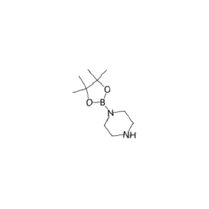 CC1(C)OB(N2CCNCC2)OC1(C)C